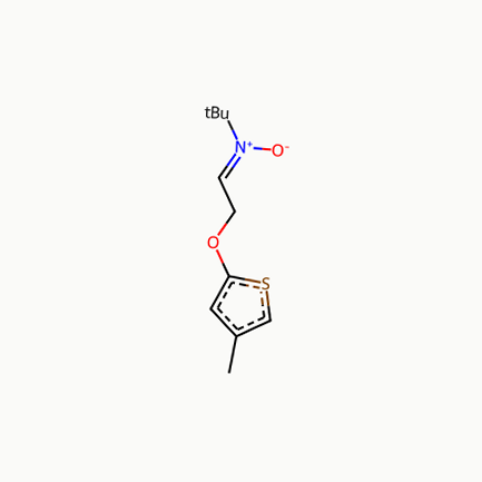 Cc1csc(OCC=[N+]([O-])C(C)(C)C)c1